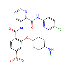 O=C(Nc1cccnc1C(=O)Nc1ccc(Cl)cn1)c1ccc([SH](=O)=O)cc1OC1CCC(NCl)CC1